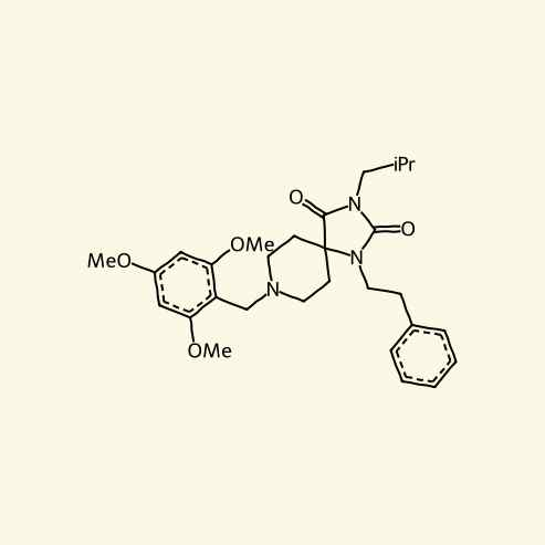 COc1cc(OC)c(CN2CCC3(CC2)C(=O)N(CC(C)C)C(=O)N3CCc2ccccc2)c(OC)c1